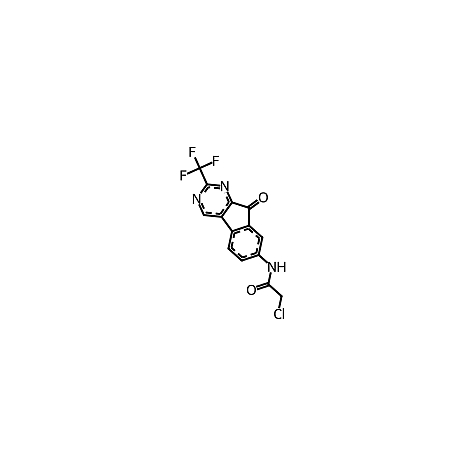 O=C(CCl)Nc1ccc2c(c1)C(=O)c1nc(C(F)(F)F)ncc1-2